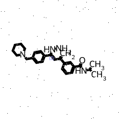 C=C(/C=C(\NN)c1ccc(CN2CCCCC2)cc1)c1cccc(C(=O)NC(C)C)c1